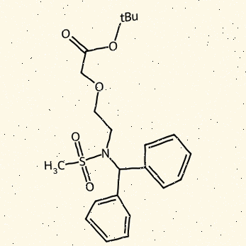 CC(C)(C)OC(=O)COCCN(C(c1ccccc1)c1ccccc1)S(C)(=O)=O